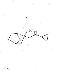 CCCCC1(CNC2CC2)CC2CCC1C2